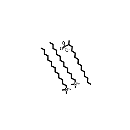 CCCCCCCCCCCCCC(C)P(=O)([O-])[O-].CCCCCCCCCCCCCC[N+](C)(C)C.CCCCCCCCCCCCCC[N+](C)(C)C